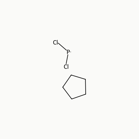 C1CCCC1.Cl[P]Cl